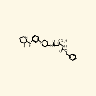 O=C(C[C@H](NC(=O)OCc1ccccc1)C(=O)O)NC1CCN(c2cccc(NC3=NCCCN3)c2)CC1